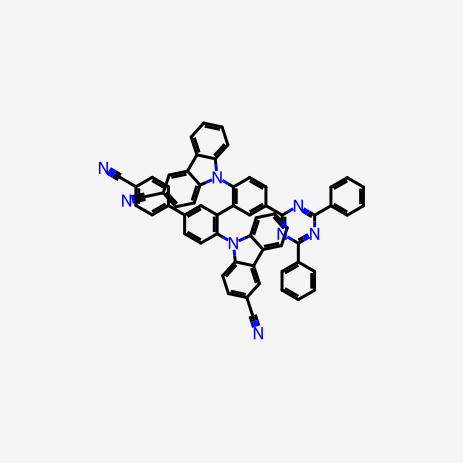 N#Cc1ccc(-c2ccc(-n3c4ccccc4c4cc(C#N)ccc43)c(-c3cc(-c4nc(-c5ccccc5)nc(-c5ccccc5)n4)ccc3-n3c4ccccc4c4cc(C#N)ccc43)c2)cc1